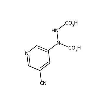 N#Cc1cncc(N(NC(=O)O)C(=O)O)c1